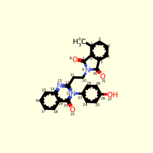 Cc1cccc2c1C(=O)N(CCc1nc3ccccc3c(=O)n1-c1ccc(O)cc1)C2=O